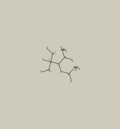 CO[Si](C)(OC)C(CC(C)N)C(C)N